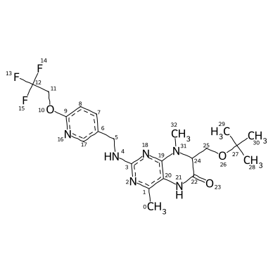 Cc1nc(NCc2ccc(OCC(F)(F)F)nc2)nc2c1NC(=O)C(COC(C)(C)C)N2C